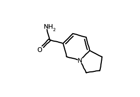 NC(=O)C1=CC=C2CCCN2C1